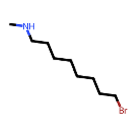 CNCCCCCCCCBr